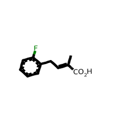 CC(=CCc1ccccc1F)C(=O)O